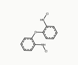 ClNc1ccccc1Oc1ccccc1NCl